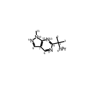 CCCC(C)(C)c1ncc2cnn(C)c2n1